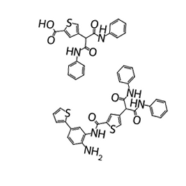 Nc1ccc(-c2cccs2)cc1NC(=O)c1cc(C(C(=O)Nc2ccccc2)C(=O)Nc2ccccc2)cs1.O=C(O)c1cc(C(C(=O)Nc2ccccc2)C(=O)Nc2ccccc2)cs1